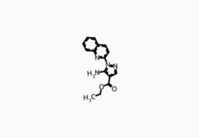 CCOC(=O)c1cnn(-c2ccc3ccccc3n2)c1N